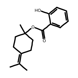 CC(C)=C1CCC(C)(OC(=O)c2ccccc2O)CC1